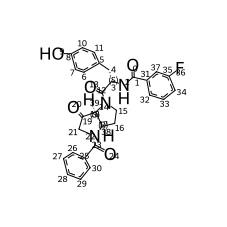 O=C(N[C@@H](Cc1ccc(O)cc1)C(=O)N1CC[C@@H]2[C@H]1C(=O)CN2C(=O)c1ccccc1)c1cccc(F)c1